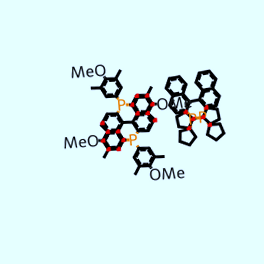 COc1c(C)cc(P(c2cc(C)c(OC)c(C)c2)c2ccc3ccccc3c2-c2c(P(c3cc(C)c(OC)c(C)c3)c3cc(C)c(OC)c(C)c3)ccc3ccccc23)cc1C.c1ccc2c(-c3c(P(C4CCCC4)C4CCCC4)ccc4ccccc34)c(P(C3CCCC3)C3CCCC3)ccc2c1